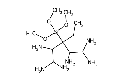 CCC(C(N)C(N)N)(C(N)C(N)N)[Si](OC)(OC)OC